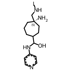 N[C@@]1(CNI)CCCC(C(O)Nc2ccncc2)CC1